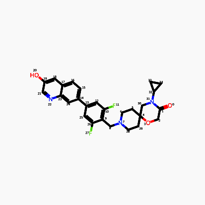 O=C1COC2(CCN(Cc3c(F)cc(-c4ccc5cc(O)cnc5c4)cc3F)CC2)CN1C1CC1